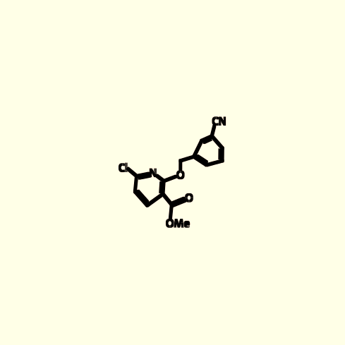 COC(=O)c1ccc(Cl)nc1OCc1cccc(C#N)c1